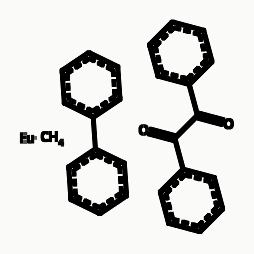 C.O=C(C(=O)c1ccccc1)c1ccccc1.[Eu].c1ccc(-c2ccccc2)cc1